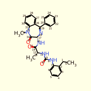 CCc1ccccc1NC(=O)N[C@@H](C)C(=O)N[C@H]1N=C(c2ccccc2)c2ccccc2N(C)C1=O